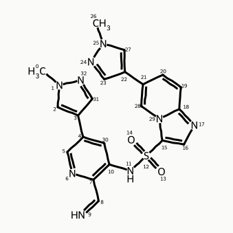 Cn1cc(-c2cnc(C=N)c(NS(=O)(=O)c3cnc4ccc(-c5cnn(C)c5)cn34)c2)cn1